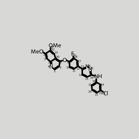 COc1cc2nccc(Oc3ccc(-c4ccc(Nc5cccc(Cl)c5)nn4)cc3F)c2cc1OC